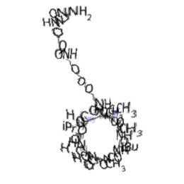 C/C=C(\C)[C@H]1OC(=O)[C@@H](C)NC(=O)C(C(C)CC)NC(=O)CN(C)C(=O)[C@@H](Cc2ccccc2)N(C)C(=O)[C@H](C)NC(=O)[C@@H](CC(C)C)OC(=O)/C(C)=C/C[C@H](OC(=O)NCCCOCCOCCOCCCNC(=O)OCc2ccc(Nn3ccc(N)nc3=O)cc2)[C@@H]1C